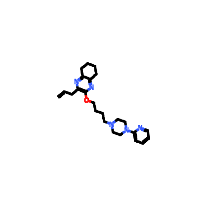 C=CCc1nc2c(nc1OCCCCN1CCN(c3ccccn3)CC1)CCCC2